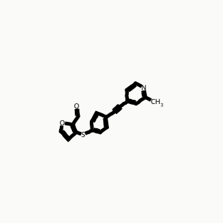 Cc1cc(C#Cc2ccc(Sc3ccoc3C=O)cc2)ccn1